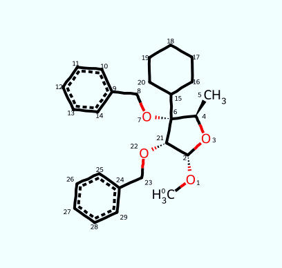 CO[C@H]1O[C@H](C)[C@](OCc2ccccc2)(C2CCCCC2)[C@H]1OCc1ccccc1